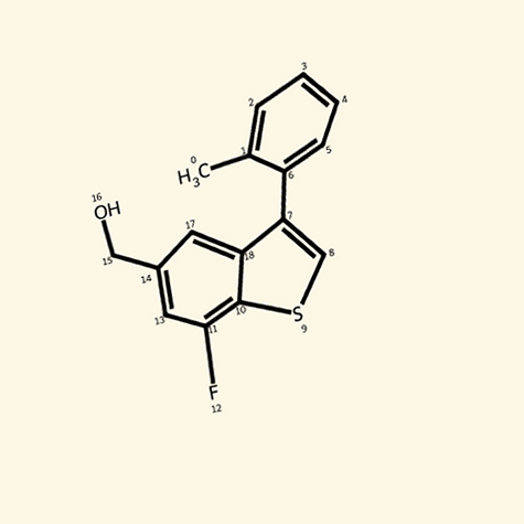 Cc1ccccc1-c1csc2c(F)cc(CO)cc12